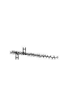 CCCCCCCCCCCCCCCCCCCCCCNCCCCNCCCC